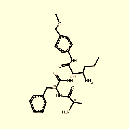 CCCC(N)[C@H](NC(=O)[C@H](Cc1ccccc1)NC(=O)[C@@H](C)N)C(=O)Nc1ccc(COC)cc1